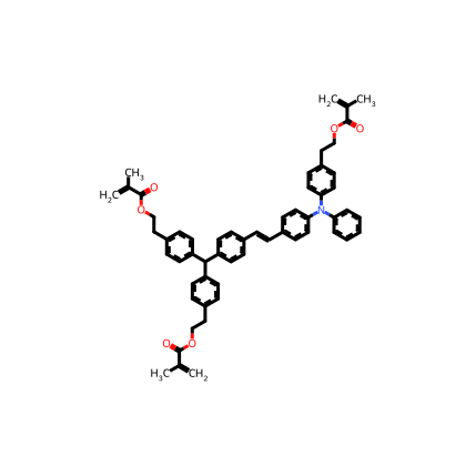 C=C(C)C(=O)OCCc1ccc(C(c2ccc(/C=C/c3ccc(N(c4ccccc4)c4ccc(CCOC(=O)C(=C)C)cc4)cc3)cc2)c2ccc(CCOC(=O)C(=C)C)cc2)cc1